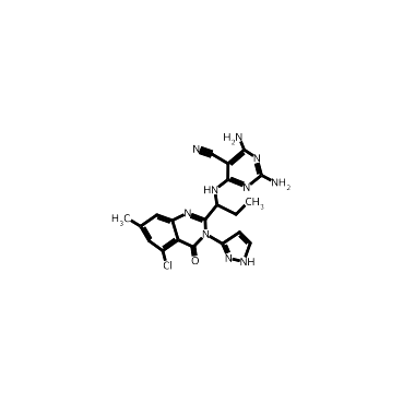 CCC(Nc1nc(N)nc(N)c1C#N)c1nc2cc(C)cc(Cl)c2c(=O)n1-c1cc[nH]n1